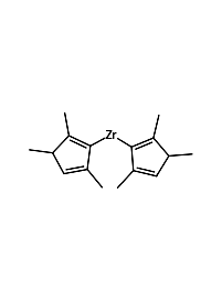 CC1=CC(C)C(C)=[C]1[Zr][C]1=C(C)C(C)C=C1C